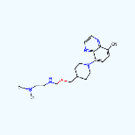 CCN(CC)CCNCOCC1CCN(c2ccc(C#N)c3nccnc23)CC1